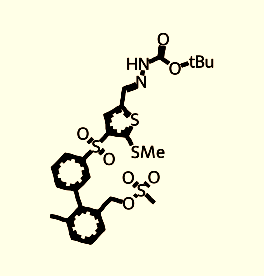 CSc1sc(C=NNC(=O)OC(C)(C)C)cc1S(=O)(=O)c1cccc(-c2c(C)cccc2COS(C)(=O)=O)c1